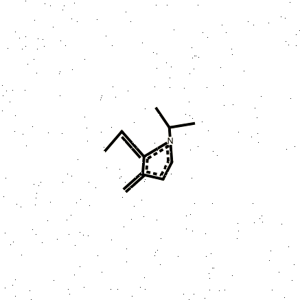 C=c1ccn(C(C)C)/c1=C/C